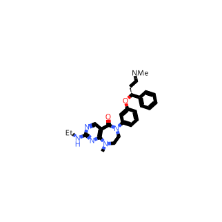 CCNc1ncc2c(n1)N(C)CCN(c1cccc(O[C@H](CCNC)c3ccccc3)c1)C2=O